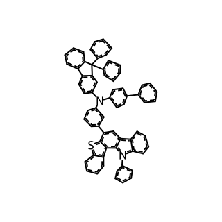 c1ccc(-c2ccc(N(c3cccc(-c4cc5c6ccccc6n(-c6ccccc6)c5c5c4sc4ccccc45)c3)c3ccc4c(c3)C(c3ccccc3)(c3ccccc3)c3ccccc3-4)cc2)cc1